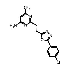 Nc1cc(C(F)(F)F)nc(SCc2nnc(-c3ccc(Cl)cc3)o2)n1